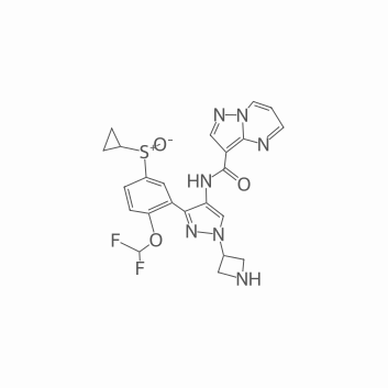 O=C(Nc1cn(C2CNC2)nc1-c1cc([S+]([O-])C2CC2)ccc1OC(F)F)c1cnn2cccnc12